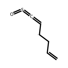 C=CC[CH]C=C=S=O